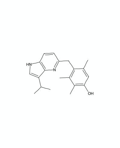 Cc1cc(O)c(C)c(C)c1Cc1ccc2[nH]cc(C(C)C)c2n1